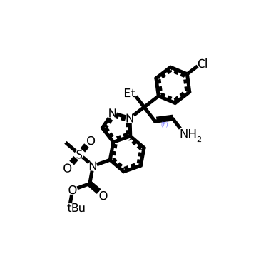 CCC(/C=C/N)(c1ccc(Cl)cc1)n1ncc2c(N(C(=O)OC(C)(C)C)S(C)(=O)=O)cccc21